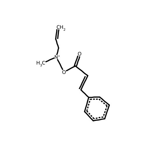 C=CC[N+](C)OC(=O)C=Cc1ccccc1